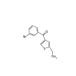 CCc1cc(C(=O)c2cccc(Br)c2)cs1